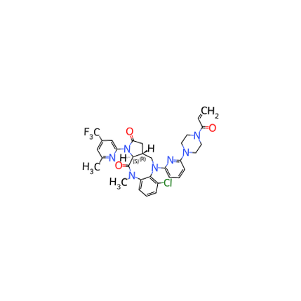 C=CC(=O)N1CCN(c2cccc(N3C[C@H]4CC(=O)N(c5cc(C(F)(F)F)cc(C)n5)[C@@H]4C(=O)N(C)c4cccc(Cl)c43)n2)CC1